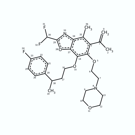 C=C(C)c1c(OCCN2CCOCC2)c(OCCC(C)c2ccc(F)cc2)c2oc(C(F)F)nc2c1C